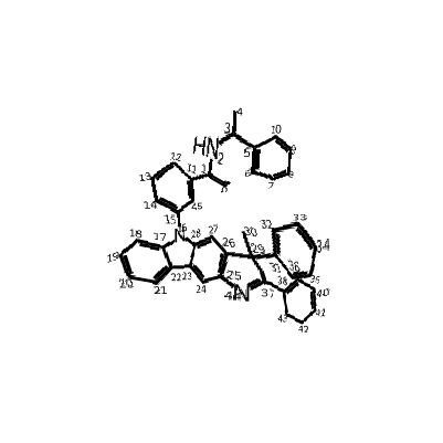 C=C(NC(C)c1ccccc1)c1cccc(-n2c3ccccc3c3cc4c(cc32)C(C)(c2ccccc2)C(C2=CC=CCC2)=N4)c1